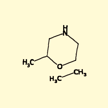 CC.CC1CNCCO1